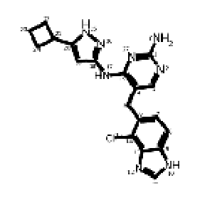 Nc1ncc(Cc2ccc3[nH]cnc3c2Cl)c(Nc2cc(C3CCC3)[nH]n2)n1